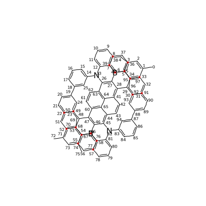 Cc1cc(C)c(B2c3ccccc3N(c3cccc(-c4ccccc4)c3)c3c2c(-c2ccccc2-c2ccccc2)c2ccc4c5c(c(-c6ccccc6-c6ccccc6)c6ccc3c2c64)B(c2c(C)cc(C)cc2C)c2ccccc2N5c2cccc(-c3ccccc3)c2)c(C)c1